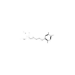 CC(C)O[Si](CCCCCc1cc(F)c(F)cc1F)(OC(C)C)OC(C)C